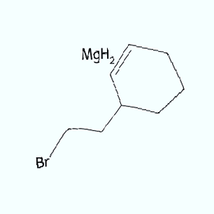 BrCCC1C=CCCC1.[MgH2]